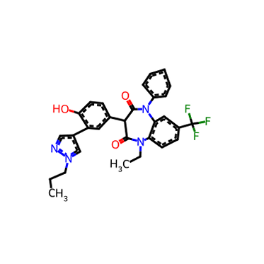 CCCn1cc(-c2cc(C3C(=O)N(CC)c4ccc(C(F)(F)F)cc4N(c4ccccc4)C3=O)ccc2O)cn1